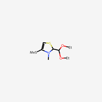 CCOC(OCC)C1SC=C(SC)N1C